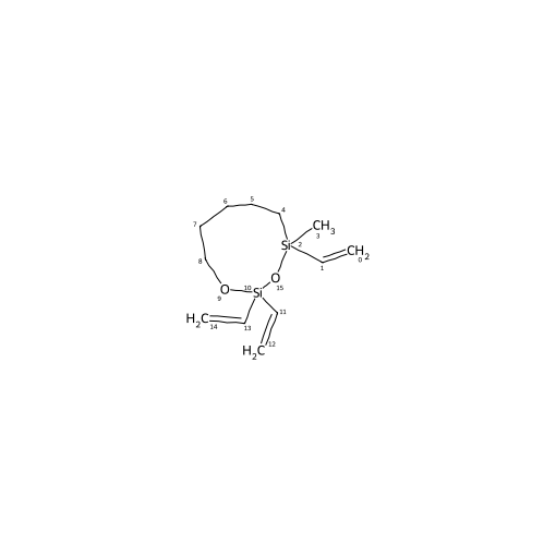 C=C[Si]1(C)CCCCCO[Si](C=C)(C=C)O1